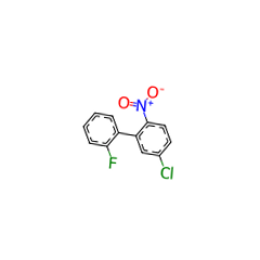 O=[N+]([O-])c1ccc(Cl)cc1-c1ccccc1F